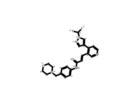 O=C(/C=C/c1cnccc1-c1cnn(C(F)F)c1)Nc1ccc(CN2CCOCC2)cc1